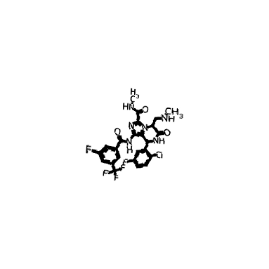 CNCC1C(=O)NC(c2cc(F)ccc2Cl)c2c(NC(=O)c3cc(F)cc(C(F)(F)F)c3)nc(C(=O)NC)n21